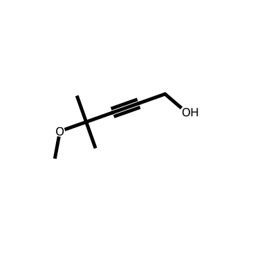 COC(C)(C)C#CCO